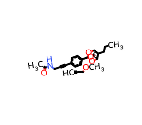 C#CCOC.CCCC12COC(c3ccc(C#CCNC(C)=O)cc3)(OC1)OC2